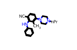 CCCN1CCN(c2ccc(C#N)c(Nc3ccccc3)c2C)CC1